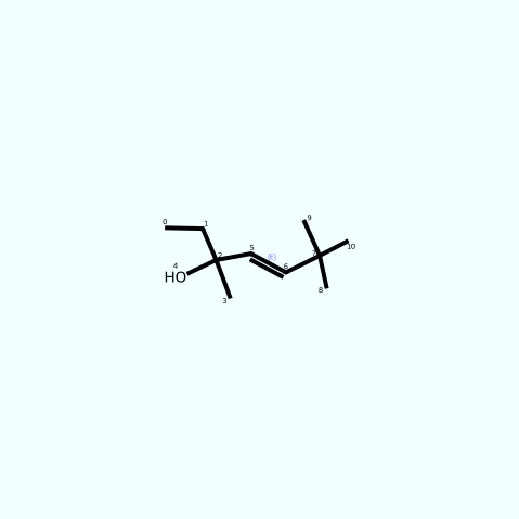 CCC(C)(O)/C=C/C(C)(C)C